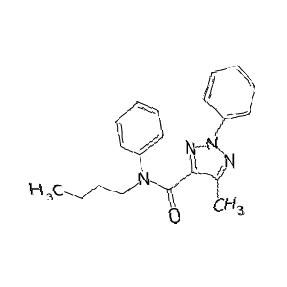 CCCCN(C(=O)c1nn(-c2ccccc2)nc1C)c1ccccc1